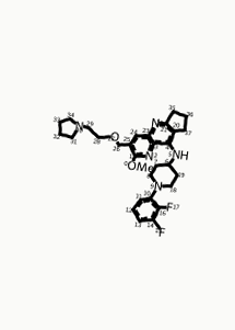 COc1nc2c(NC3CCN(c4cccc(F)c4F)CC3)c3c(nc2cc1COCCN1CCCC1)CCC3